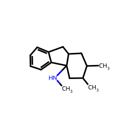 CNC12CC(C)C(C)CC1Cc1ccccc12